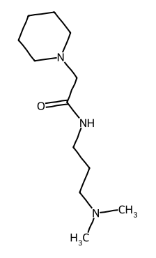 CN(C)CCCNC(=O)CN1CCCCC1